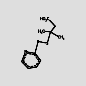 CC(C)(CC(=O)O)SSc1ccccn1